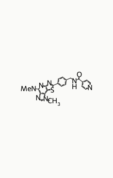 CNc1nc2nc(-c3ccc(CNC(=O)c4ccncc4)cc3)sc2c2c1ncn2C